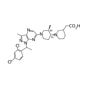 Cc1nn(C(C)c2ccc(Cl)cc2Cl)c2nc(N3CC[C@H](N4CCCC(CC(=O)O)C4)[C@H](C)C3)cnc12